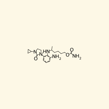 CC(CCCCOC(N)=O)Nc1c(N)cccc1N1CCN(C2CC2)C1=O